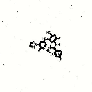 Cc1ncc(Nc2nc(N[C@H](c3ccc(F)cc3)[C@H](C)NC(=O)O)c(F)cc2C#N)cc1-n1nccn1